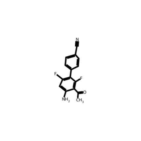 CC(=O)c1c(N)cc(F)c(-c2ccc(C#N)cc2)c1F